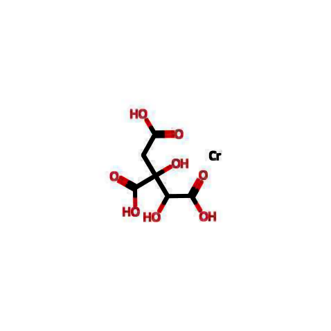 O=C(O)CC(O)(C(=O)O)C(O)C(=O)O.[Cr]